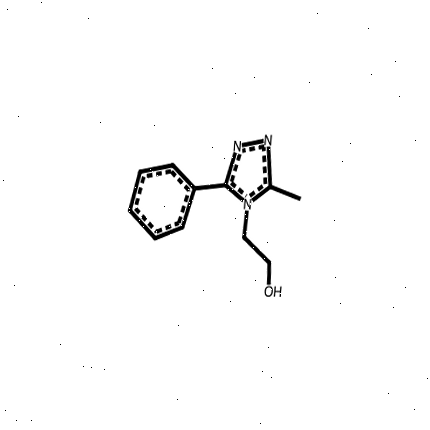 Cc1nnc(-c2ccccc2)n1CCO